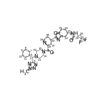 Cn1nnc(C(c2ccccc2)N2CCN(C(=O)c3cc(-c4nc5cc(NC(=O)[C@@H]6CC6(F)F)ccc5o4)ccn3)CC2)n1